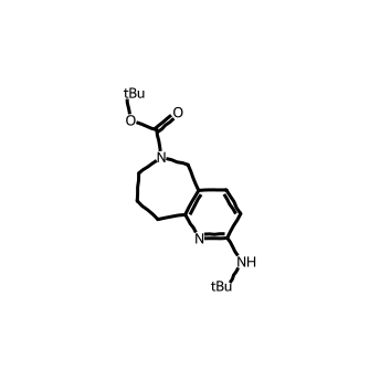 CC(C)(C)Nc1ccc2c(n1)CCCN(C(=O)OC(C)(C)C)C2